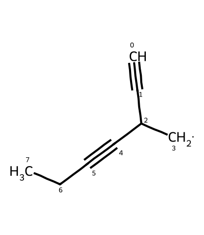 C#CC([CH2])C#CCC